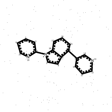 c1ccc(-n2ccc3c(-c4cccnc4)cccc32)nc1